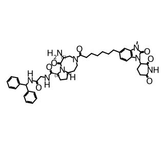 Cn1c(=O)n(C2CCC(=O)NC2=O)c2ccc(CCCCCCC(=O)N3CC[C@H]4CC[C@@H](C(=O)NCC(=O)NC(c5ccccc5)c5ccccc5)N4C(=O)[C@@H](N)C3)cc21